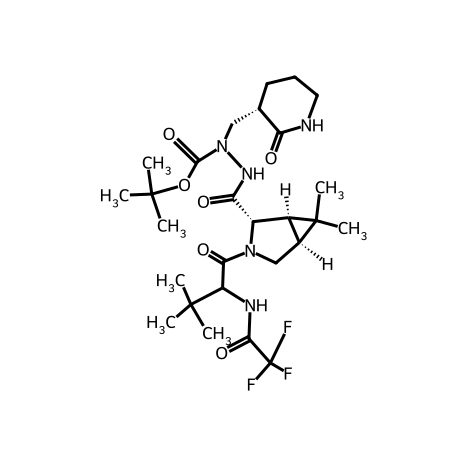 CC(C)(C)OC(=O)N(C[C@@H]1CCCNC1=O)NC(=O)[C@@H]1[C@@H]2[C@H](CN1C(=O)C(NC(=O)C(F)(F)F)C(C)(C)C)C2(C)C